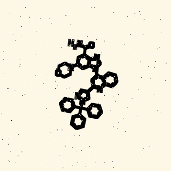 NC(=O)c1cc(N2CCOCC2)cc2c1ncn2-c1cc(-c2cnn(C(c3ccccc3)(c3ccccc3)c3ccccc3)c2)nc2ccccc12